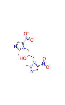 Cc1ncc([N+](=O)[O-])n1CC(O)Cn1c([N+](=O)[O-])cnc1C